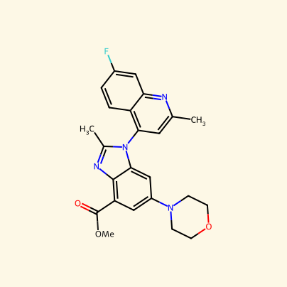 COC(=O)c1cc(N2CCOCC2)cc2c1nc(C)n2-c1cc(C)nc2cc(F)ccc12